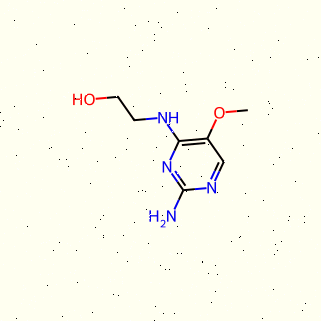 COc1cnc(N)nc1NCCO